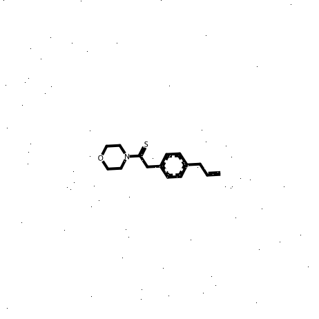 C=CCc1ccc(CC(=S)N2CCOCC2)cc1